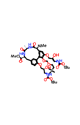 CN[C@@H]1C(=O)N[C@@H](C)C(=O)N[C@H](C(=O)OC)Cc2ccc(OC[C@H](O)CNC(=O)OC(C)(C)C)c(c2)-c2cc1cc(OC[C@H](O)CNC(=O)OC(C)(C)C)c2OCOCC[Si](C)(C)C